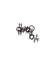 COc1cc(N2C[C@H]3CC[C@@H](C2)[C@H]3Nc2nc3n(n2)CCCC[C@@H]3c2cccc(C(F)(F)F)c2)ccn1